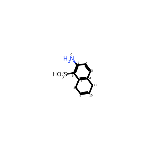 Nc1ccc2c(c1S(=O)(=O)O)CC=CC2